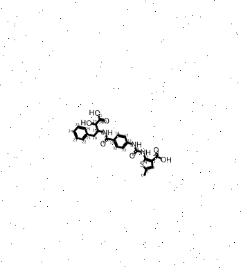 Cc1cc(C(=O)O)c(NC(=O)Nc2ccc(C(=O)NC(Cc3ccccc3)C(O)C(=O)O)cc2)s1